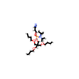 CCCCOCC(COCCCC)(COCCCC)COP(OCCC#N)N(C(C)C)C(C)C